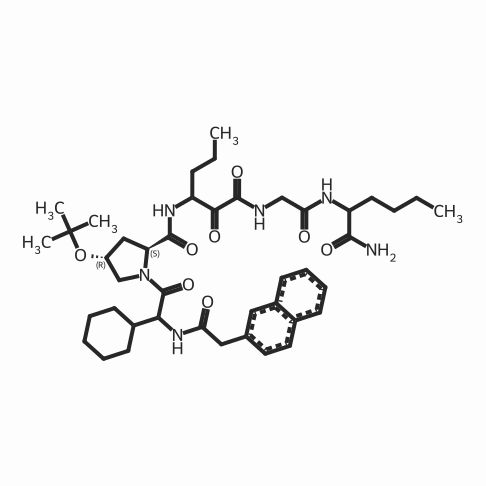 CCCCC(NC(=O)CNC(=O)C(=O)C(CCC)NC(=O)[C@@H]1C[C@@H](OC(C)(C)C)CN1C(=O)C(NC(=O)Cc1ccc2ccccc2c1)C1CCCCC1)C(N)=O